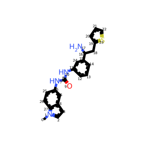 Cn1ccc2cc(NC(=O)Nc3cccc(C(N)Cc4cccs4)c3)ccc21